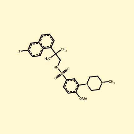 COc1ccc(S(=O)(=O)NCC(C)(C)c2cccc3cc(F)ccc23)cc1N1CCN(C)CC1